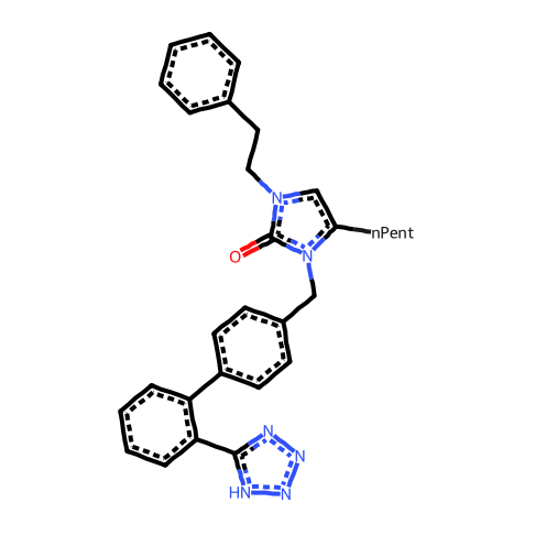 CCCCCc1cn(CCc2ccccc2)c(=O)n1Cc1ccc(-c2ccccc2-c2nnn[nH]2)cc1